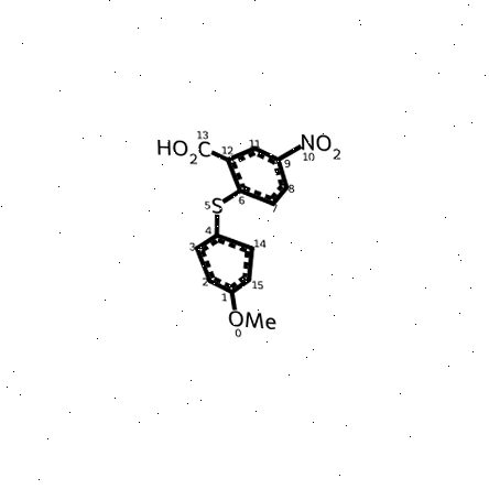 COc1ccc(Sc2ccc([N+](=O)[O-])cc2C(=O)O)cc1